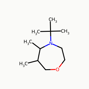 CC1COCCN(C(C)(C)C)C1C